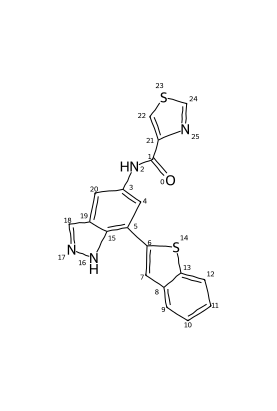 O=C(Nc1cc(-c2cc3ccccc3s2)c2[nH]ncc2c1)c1cscn1